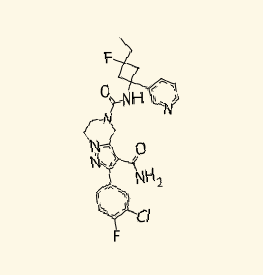 CCC1(F)CC(NC(=O)N2CCn3nc(-c4ccc(F)c(Cl)c4)c(C(N)=O)c3C2)(c2cccnc2)C1